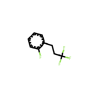 Fc1ccccc1CCC(F)(F)F